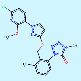 COc1nc(Cl)ccc1-n1ccc(OCc2c(C)cccc2-n2nnn(C)c2=O)n1